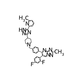 Cc1cccc(-c2nc(C3CCN(Cc4ccc(-c5nc6nc(C)nn6cc5-c5ccc(F)cc5F)cc4)CC3)n[nH]2)n1